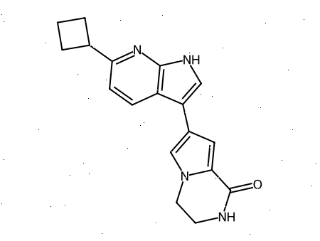 O=C1NCCn2cc(-c3c[nH]c4nc(C5CCC5)ccc34)cc21